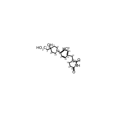 Cl.O=C(O)CC1(O)CCN(c2ccc(CN3CCC(=O)NC3=O)cc2)CC1